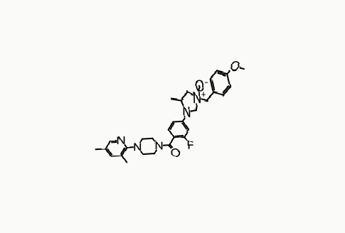 COc1ccc(C[N+]2([O-])CC(C)N(c3ccc(C(=O)N4CCN(c5ncc(C)cc5C)CC4)c(F)c3)C2)cc1